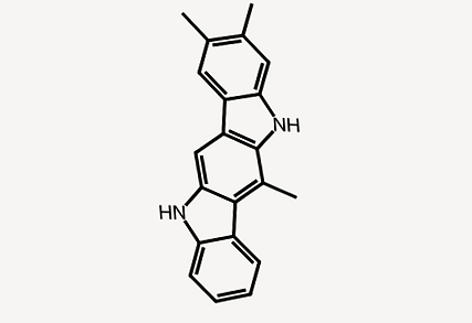 Cc1cc2[nH]c3c(C)c4c(cc3c2cc1C)[nH]c1ccccc14